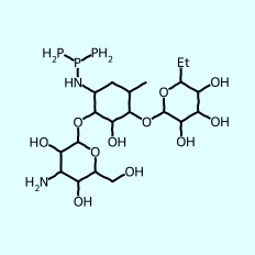 CCC1OC(OC2C(C)CC(NP(P)P)C(OC3OC(CO)C(O)C(N)C3O)C2O)C(O)C(O)C1O